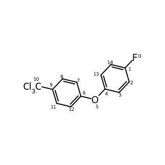 Fc1ccc(Oc2ccc(C(Cl)(Cl)Cl)cc2)cc1